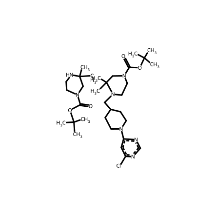 CC(C)(C)OC(=O)N1CCN(CC2CCN(c3cc(Cl)ncn3)CC2)C(C)(C)C1.CC1(C)CN(C(=O)OC(C)(C)C)CCN1